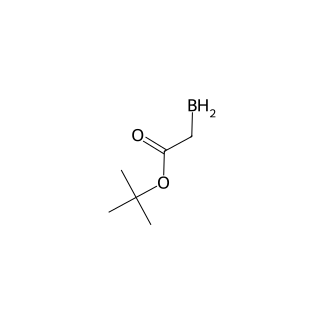 BCC(=O)OC(C)(C)C